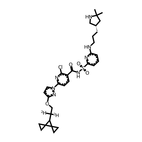 [2H]C([2H])(COc1ccn(-c2ccc(C(=O)NS(=O)(=O)c3cccc(NCCC[C@@H]4CNC(C)(C)C4)n3)c(Cl)n2)n1)C1C2(CC2)C12CC2